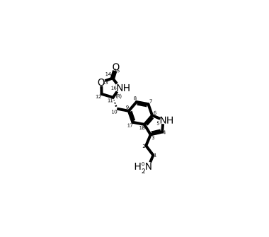 NCCc1c[nH]c2ccc(C[C@@H]3COC(=O)N3)cc12